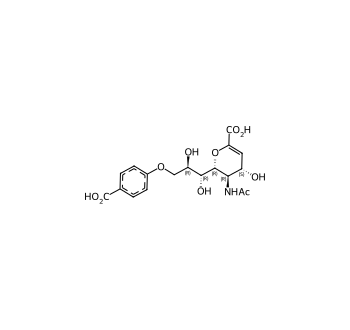 CC(=O)N[C@H]1[C@H]([C@H](O)[C@H](O)COc2ccc(C(=O)O)cc2)OC(C(=O)O)=C[C@@H]1O